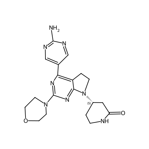 Nc1ncc(-c2nc(N3CCOCC3)nc3c2CCN3[C@H]2CCNC(=O)C2)cn1